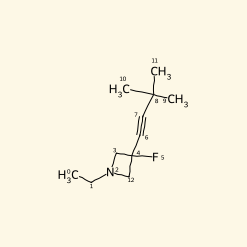 CCN1CC(F)(C#CC(C)(C)C)C1